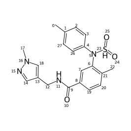 Cc1ccc(N(c2cc(C(=O)NCc3cnn(C)c3)ccc2C)[SH](=O)=O)cc1